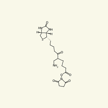 NCC(CCCC(=O)ON1C(=O)CCC1=O)C(=O)CCCC[C@@H]1SC[C@@H]2NC(=O)N[C@@H]21